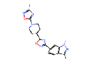 Cc1noc(N2CCC(c3nc(-c4ccc5c(C)nn(C)c5c4)no3)CC2)n1